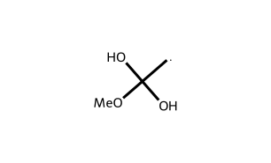 [CH2]C(O)(O)OC